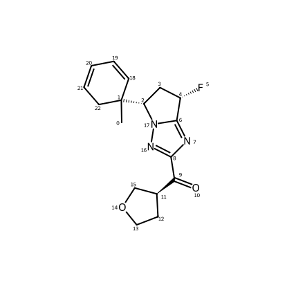 CC1([C@@H]2C[C@H](F)c3nc(C(=O)[C@H]4CCOC4)nn32)C=CC=CC1